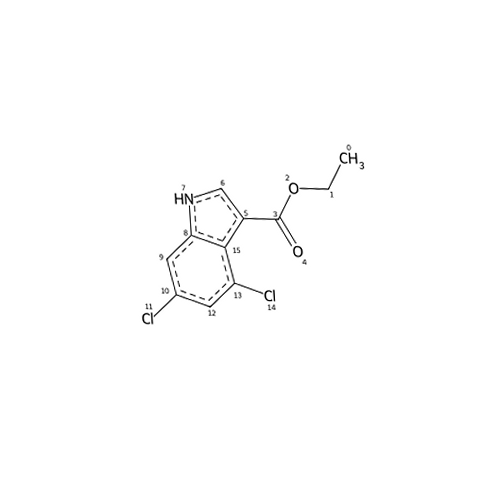 CCOC(=O)c1c[nH]c2cc(Cl)cc(Cl)c12